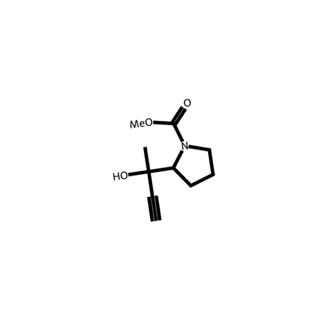 C#CC(C)(O)C1CCCN1C(=O)OC